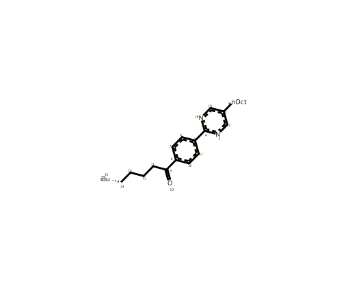 CCCCCCCCc1cnc(-c2ccc(C(=O)CCCC[C@@H](C)CC)cc2)nc1